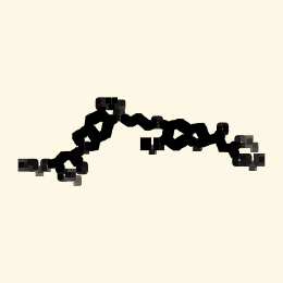 COc1cc2c(cc1OCCCOc1cc3cc(C(=O)CC(C)C(=O)O)sc3cc1N)CN(C(=O)CC(C)C(=O)O)C2